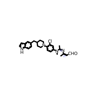 CC(=C/C=O)/N=C(/C)N(C)c1ccc(N2CCC(Cc3ccc4[nH]ccc4c3)CC2)c(Cl)c1